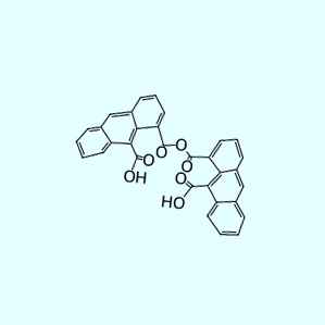 O=C(OC(=O)c1cccc2cc3ccccc3c(C(=O)O)c12)c1cccc2cc3ccccc3c(C(=O)O)c12